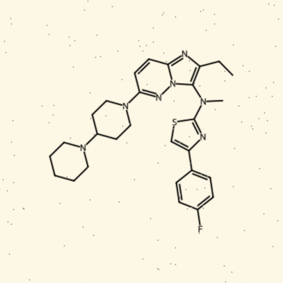 CCc1nc2ccc(N3CCC(N4CCCCC4)CC3)nn2c1N(C)c1nc(-c2ccc(F)cc2)cs1